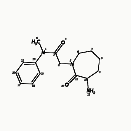 CN(C(=O)CN1CCCCC(N)C1=O)c1ccccc1